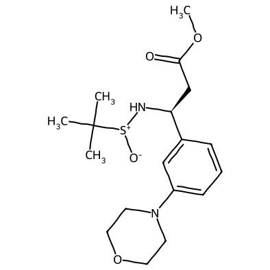 COC(=O)C[C@H](N[S+]([O-])C(C)(C)C)c1cccc(N2CCOCC2)c1